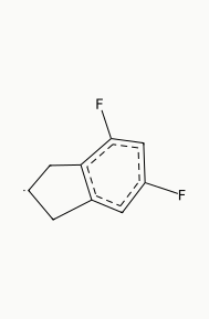 Fc1cc(F)c2c(c1)C[CH]C2